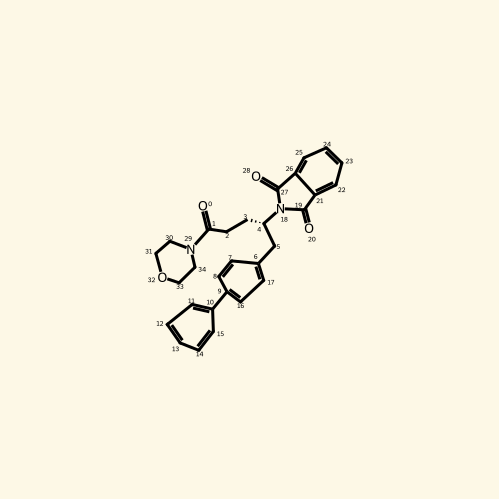 O=C(CC[C@@H](Cc1ccc(-c2ccccc2)cc1)N1C(=O)c2ccccc2C1=O)N1CCOCC1